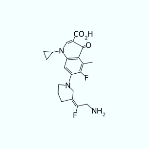 Cc1c(F)c(N2CCC/C(=C(\F)CN)C2)cc2c1c(=O)c(C(=O)O)cn2C1CC1